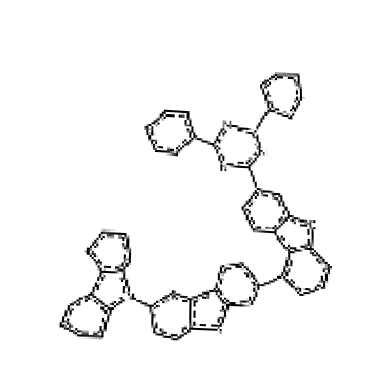 c1ccc(-c2nc(-c3ccccc3)nc(-c3ccc4c(c3)oc3cccc(-c5ccc6c(c5)sc5ccc(-n7c8ccccc8c8ccccc87)cc56)c34)n2)cc1